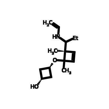 C=CNC(CC)[C@@]1(C)C=CC1(C)O[C@H]1C[C@@H](O)C1